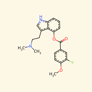 COc1ccc(C(=O)Oc2cccc3[nH]cc(CCN(C)C)c23)cc1F